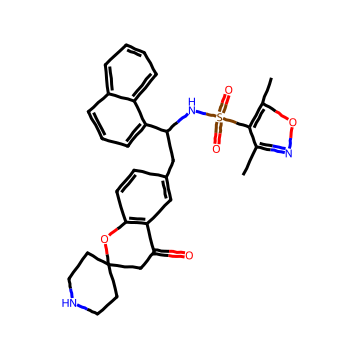 Cc1noc(C)c1S(=O)(=O)NC(Cc1ccc2c(c1)C(=O)CC1(CCNCC1)O2)c1cccc2ccccc12